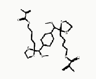 C=C(C)C(=O)SCCCCC1(C(SC)C2CCC(C(SC)C3(CCCCSC(=O)C(=C)C)SCCS3)CC2)SCCS1